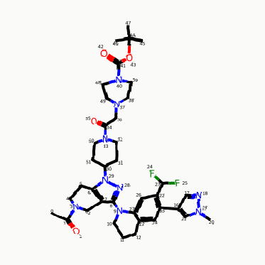 CC(=O)N1CCc2c(c(N3CCCc4cc(-c5cnn(C)c5)c(C(F)F)cc43)nn2C2CCN(C(=O)CN3CCN(C(=O)OC(C)(C)C)CC3)CC2)C1